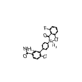 CN(C(=O)c1c(F)cccc1Cl)c1ccc(-c2cc(C(N)=O)ccc2Cl)cc1